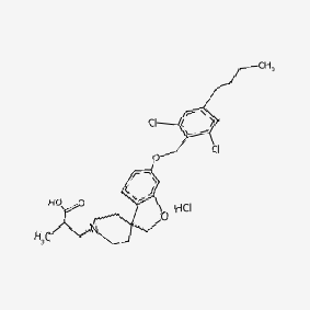 CCCCc1cc(Cl)c(COc2ccc3c(c2)OCC32CCN(CC(C)C(=O)O)CC2)c(Cl)c1.Cl